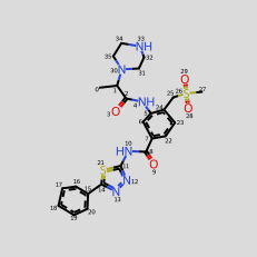 CC(C(=O)Nc1cc(C(=O)Nc2nnc(-c3ccccc3)s2)ccc1CS(C)(=O)=O)N1CCNCC1